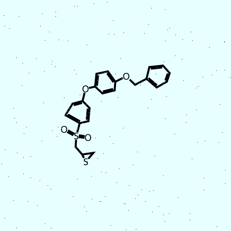 O=S(=O)(CC1CS1)c1ccc(Oc2ccc(OCc3ccccc3)cc2)cc1